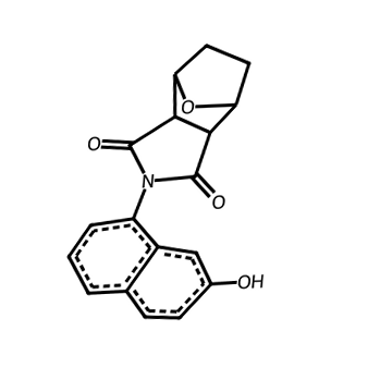 O=C1C2C3CCC(O3)C2C(=O)N1c1cccc2ccc(O)cc12